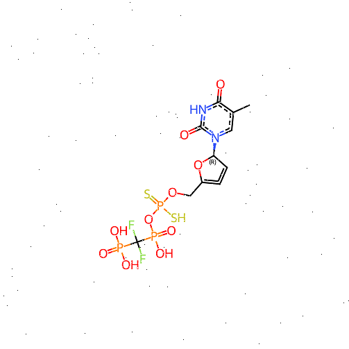 Cc1cn([C@H]2C=C=C(COP(=S)(S)OP(=O)(O)C(F)(F)P(=O)(O)O)O2)c(=O)[nH]c1=O